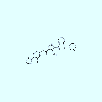 O=C(Nc1cnc(-n2nccn2)c(Cl)c1)c1cnn(-c2cnc(C3COCCO3)c3ccccc23)c1C(F)(F)F